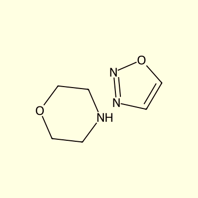 C1COCCN1.c1conn1